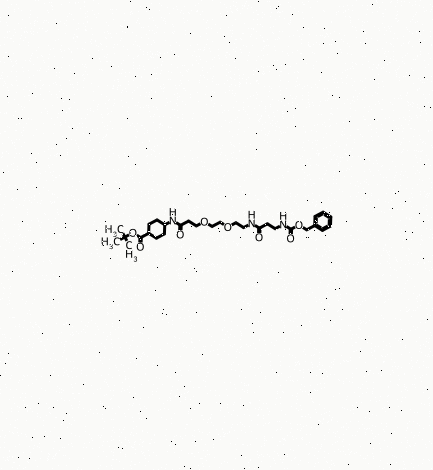 CC(C)(C)OC(=O)C1CCC(NC(=O)CCOCCOCCNC(=O)CCNC(=O)OCc2ccccc2)CC1